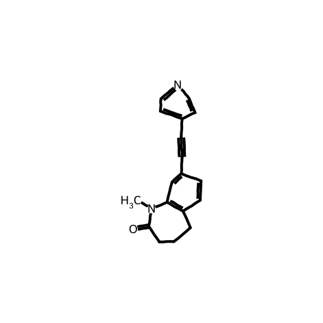 CN1C(=O)CCCc2ccc(C#Cc3ccncc3)cc21